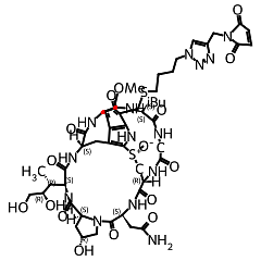 CC[C@H](C)[C@@H]1NC(=O)CNC(=O)[C@@H]2Cc3c([nH]c4c(CSCCCCn5cc(CN6C(=O)C=CC6=O)nn5)c(OC)ccc34)[S+]([O-])C[C@H](NC(=O)CNC1=O)C(=O)N[C@@H](CC(N)=O)C(=O)N1C[C@H](O)C[C@H]1C(=O)N[C@@H]([C@@H](C)[C@@H](O)CO)C(=O)N2